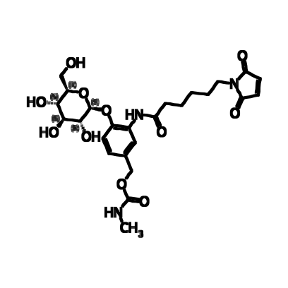 CNC(=O)OCc1ccc(O[C@@H]2O[C@H](CO)[C@@H](O)[C@H](O)[C@H]2O)c(NC(=O)CCCCCN2C(=O)C=CC2=O)c1